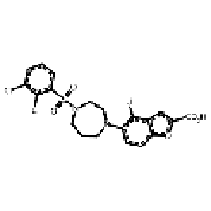 O=C(O)c1cc2c(Cl)c(N3CCCN(S(=O)(=O)c4cccc(Cl)c4Cl)CC3)ccc2o1